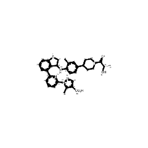 Cc1cc(C2CCN(C(=O)[C@H](C)O)CC2)ccc1NC1COc2cccc(-c3cccc(-n4ncc(C(=O)O)c4C)n3)c21